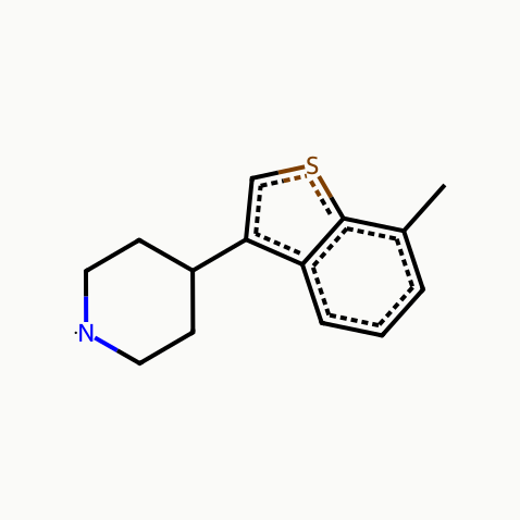 Cc1cccc2c(C3CC[N]CC3)csc12